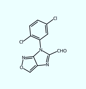 O=Cc1nc2conc2n1-c1cc(Cl)ccc1Cl